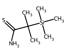 CC(C)(C(N)=S)[Si](C)(C)C